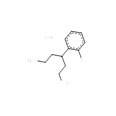 CCCC(CCC)c1ccccc1I.P